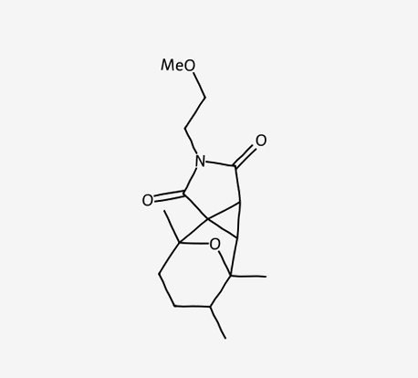 COCCN1C(=O)C2C3C4(C)OC(C)(CCC4C)C23C1=O